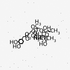 CC=CC(C)(OC(C)(CC)CCO)C(O)OCC(C)(COC(C)(N)CC)C(=O)OCCOC(=O)Cc1ccc(O)c(O)c1